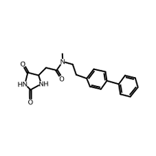 CN(CCc1ccc(-c2ccccc2)cc1)C(=O)CC1NC(=O)NC1=O